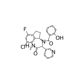 NC(=O)C(c1cccnc1)N(C(=O)c1ccccc1O)[C@@H]1CCc2c(F)cc(Cl)cc21